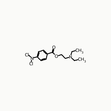 CCN(CC)CCOC(=O)c1ccc(N(Cl)Cl)cc1